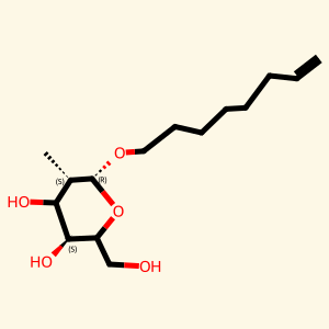 C=CCCCCCCO[C@@H]1OC(CO)[C@@H](O)C(O)[C@@H]1C